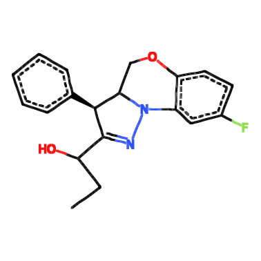 CCC(O)C1=NN2c3cc(F)ccc3OCC2[C@@H]1c1ccccc1